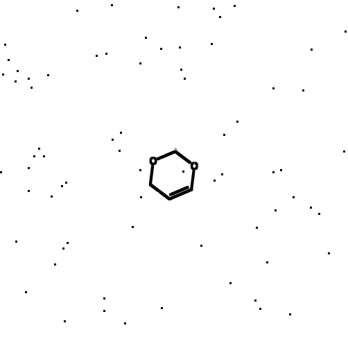 [CH]1OC=CCO1